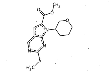 COC(=O)c1cc2cnc(SC)nc2n1C1CCCOC1